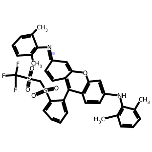 Cc1cccc(C)c1/N=c1\ccc2c(-c3ccccc3S(=O)(=O)CS(=O)(=O)C(F)(F)F)c3ccc(Nc4c(C)cccc4C)cc3oc-2c1